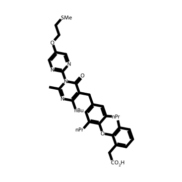 CCCCc1nc(C)n(-c2ncc(OCCSC)cn2)c(=O)c1Cc1cc(CCC)c(Oc2c(C)cccc2CC(=O)O)c(CCC)c1